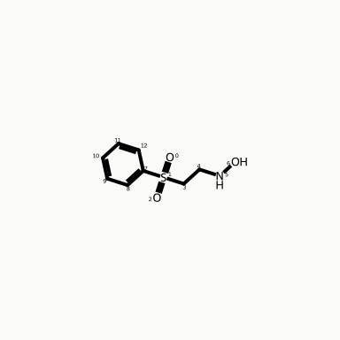 O=S(=O)(CCNO)c1ccccc1